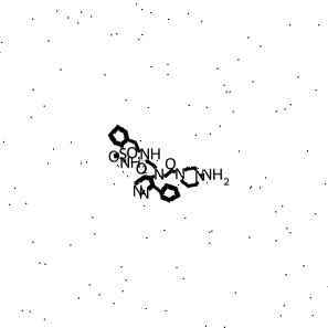 NN1CCCN(C(=O)CN(CC(=O)NCCc2ccccc2S(N)(=O)=O)c2ccnnc2-c2ccccc2)CC1